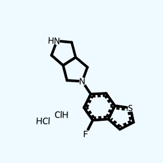 Cl.Cl.Fc1cc(N2CC3CNCC3C2)cc2sccc12